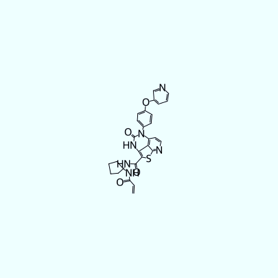 C=CC(=O)NC1(NC(=O)c2sc3nccc4c3c2NC(=O)N4c2ccc(Oc3cccnc3)cc2)CCCC1